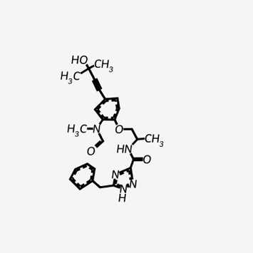 CC(COc1ccc(C#CC(C)(C)O)cc1N(C)C=O)NC(=O)c1n[nH]c(Cc2ccccc2)n1